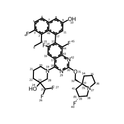 CCc1c(F)ccc2cc(O)cc(-c3c(F)cc4c(N5CCCC(O)(C(F)F)C5)nc(OC[C@@]56CCCN5C[C@H](F)C6)nc4c3F)c12